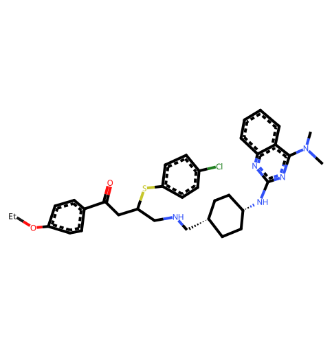 CCOc1ccc(C(=O)CC(CNC[C@H]2CC[C@@H](Nc3nc(N(C)C)c4ccccc4n3)CC2)Sc2ccc(Cl)cc2)cc1